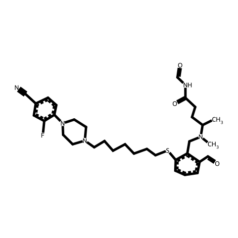 CC(CCC(=O)NC=O)N(C)Cc1c(C=O)cccc1SCCCCCCCN1CCN(c2ccc(C#N)cc2F)CC1